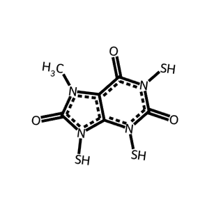 Cn1c(=O)n(S)c2c1c(=O)n(S)c(=O)n2S